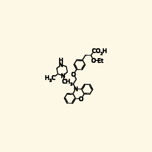 CC1CNCCN1C.CCOC(Cc1ccc(OCCN2c3ccccc3Oc3ccccc32)cc1)C(=O)O